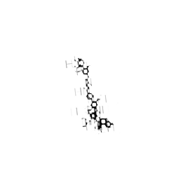 CCc1cc(Nc2ncc(Br)c(Nc3ccc4ncccc4c3P(C)(C)=O)n2)c(OC)cc1N1CCC(NCCNCCc2cc(F)c(C3CCC(=O)NC3=O)c(F)c2)CC1